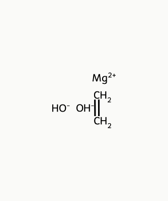 C=C.[Mg+2].[OH-].[OH-]